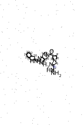 NN/C=C(\N)Cn1ccc(C(=O)N2CCc3nc(NC4Cc5ccccc5C4)ncc3C2)c1